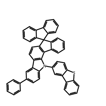 c1ccc(-c2ccc3c(c2)c2ccc4c(c2n3-c2ccc3sc5ccccc5c3c2)-c2ccccc2C42c3ccccc3-c3ccccc32)cc1